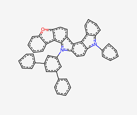 c1ccc(-c2cc(-c3ccccc3)cc(-n3c4ccc5c(c6ccccc6n5-c5ccccc5)c4c4ccc5oc6ccccc6c5c43)c2)cc1